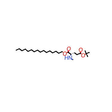 CCCCCCCCCCCCCCCCOC(=O)[C@H](CCC(=O)OC(C)(C)C)NC